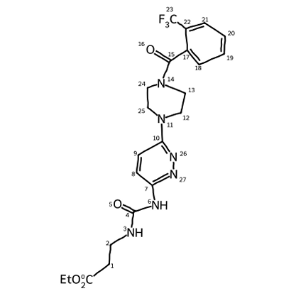 CCOC(=O)CCNC(=O)Nc1ccc(N2CCN(C(=O)c3ccccc3C(F)(F)F)CC2)nn1